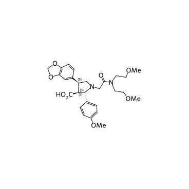 COCCN(CCOC)C(=O)CN1C[C@H](c2ccc3c(c2)OCO3)[C@H](C(=O)O)[C@H]1c1ccc(OC)cc1